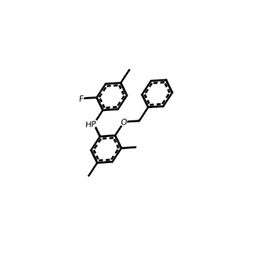 Cc1ccc(Pc2cc(C)cc(C)c2OCc2ccccc2)c(F)c1